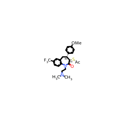 COc1ccc([C@H]2Cc3cc(C(F)(F)F)ccc3N(CCN(C)C)C(=O)[C@H]2SC(C)=O)cc1